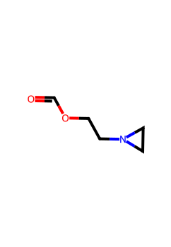 O=COCCN1CC1